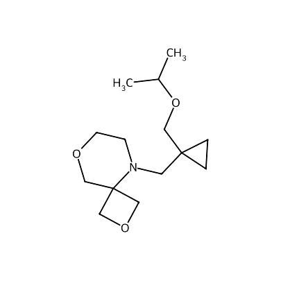 CC(C)OCC1(CN2CCOCC23COC3)CC1